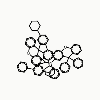 c1ccc(-c2ccc(-c3ccccc3N(c3ccc4c(c3)C(c3ccccc3)(c3ccccc3)c3ccccc3O4)C3c4ccc5c(c43)C3(c4ccccc4O5)c4cc(C5CCCCC5)ccc4-c4ccc(C5CCCCC5)cc43)cc2)cc1